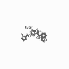 CN1CCCC1COc1nc(OC(C)(C)C)c2ncc(C(O)c3cccc4c3CCO4)n2n1